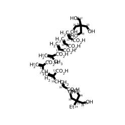 C=C(C)C(=O)O.C=C(C)C(=O)O.C=C(C)C(=O)O.C=CC(=O)O.C=CC(=O)O.C=CC(=O)O.C=CC(=O)O.CCC(CO)(CO)CO.OCC(CO)(CO)CO